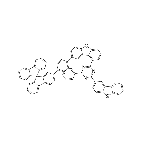 c1ccc(-c2nc(-c3ccc4sc5ccccc5c4c3)nc(-c3cccc4oc5ccc(-c6ccc(-c7ccc8c(c7)C7(c9ccccc9-c9ccccc97)c7ccccc7-8)cc6)cc5c34)n2)cc1